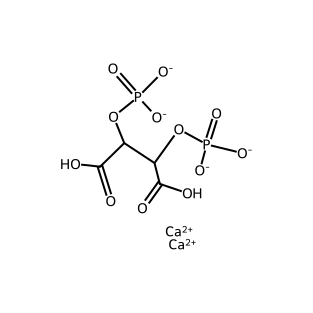 O=C(O)C(OP(=O)([O-])[O-])C(OP(=O)([O-])[O-])C(=O)O.[Ca+2].[Ca+2]